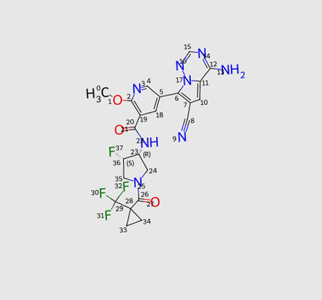 COc1ncc(-c2c(C#N)cc3c(N)ncnn23)cc1C(=O)N[C@@H]1CN(C(=O)C2(C(F)(F)F)CC2)C[C@@H]1F